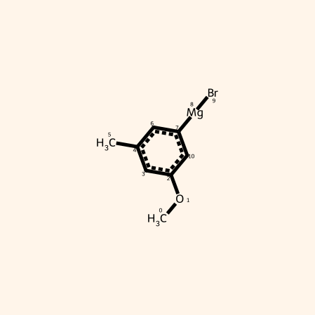 COc1cc(C)c[c]([Mg][Br])c1